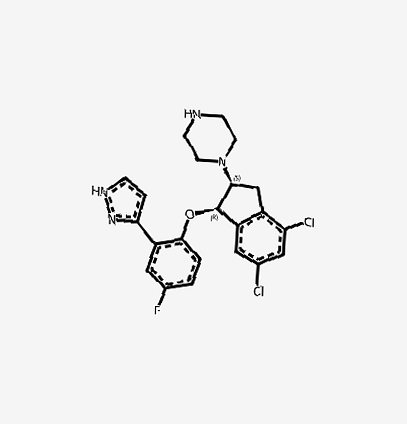 Fc1ccc(O[C@@H]2c3cc(Cl)cc(Cl)c3C[C@@H]2N2CCNCC2)c(-c2cc[nH]n2)c1